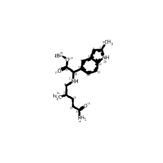 Cc1cc2cc(C(NCC(C)CCC(N)=O)C(=O)OC(C)(C)C)ccc2[nH]1